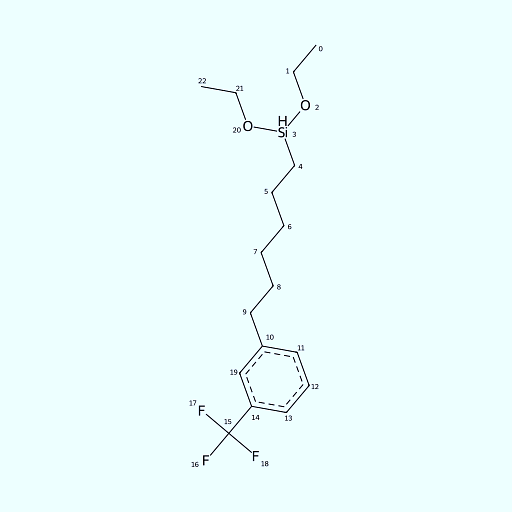 CCO[SiH](CCCCCCc1cccc(C(F)(F)F)c1)OCC